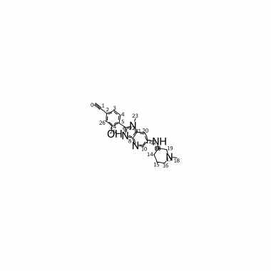 C#Cc1ccc(-c2nc3ncc(N[C@@H]4CCCN(C)C4)cc3n2C)c(O)c1